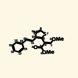 CO/C=C(/C(=O)OC)c1scnc1/C=C/c1ccccc1